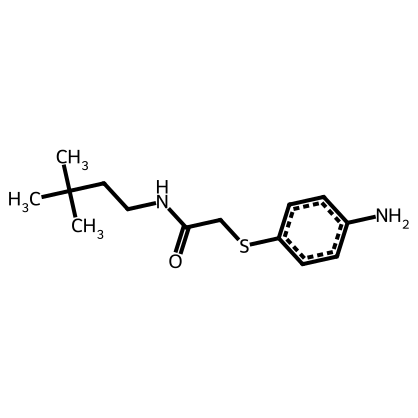 CC(C)(C)CCNC(=O)CSc1ccc(N)cc1